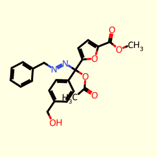 COC(=O)c1ccc(C(N=NCc2ccccc2)(OC(C)=O)c2ccc(CO)cc2)o1